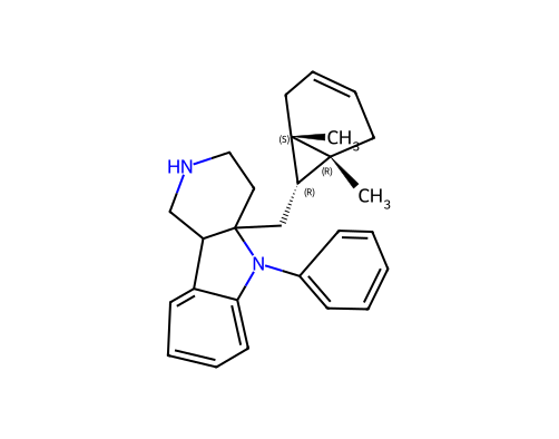 C[C@@]12CC=CC[C@]1(C)[C@@H]2CC12CCNCC1c1ccccc1N2c1ccccc1